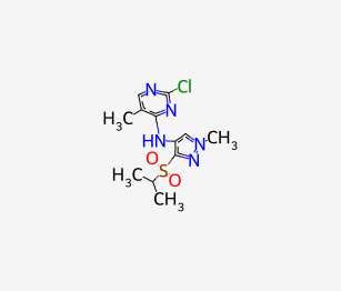 Cc1cnc(Cl)nc1Nc1cn(C)nc1S(=O)(=O)C(C)C